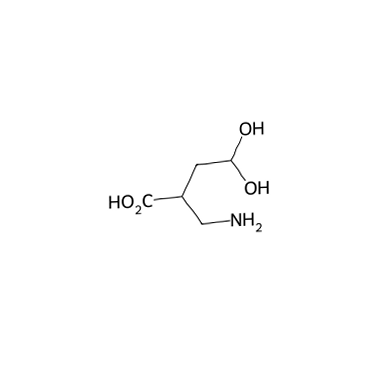 NCC(CC(O)O)C(=O)O